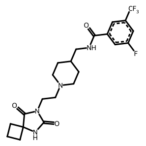 O=C(NCC1CCN(CCN2C(=O)NC3(CCC3)C2=O)CC1)c1cc(F)cc(C(F)(F)F)c1